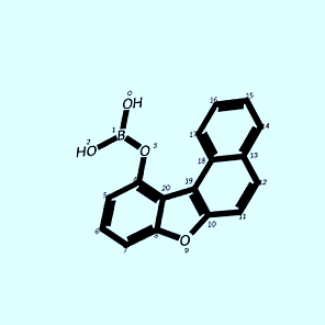 OB(O)Oc1cccc2oc3ccc4ccccc4c3c12